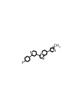 Cn1cc(-c2ccn3c(-c4ccnc(-c5ccc(F)cc5)c4)cnc3c2)cn1